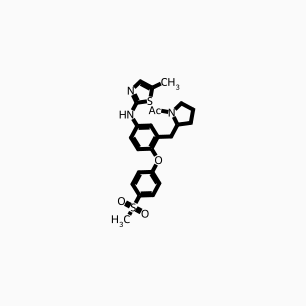 CC(=O)N1CCCC1Cc1cc(Nc2ncc(C)s2)ccc1Oc1ccc(S(C)(=O)=O)cc1